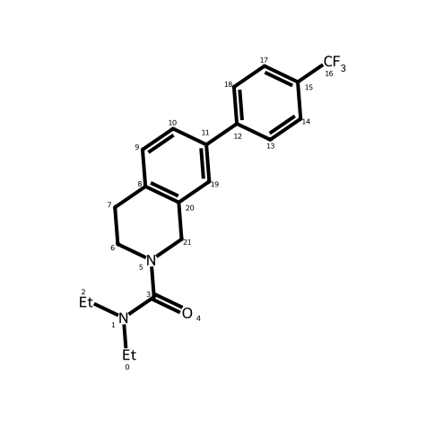 CCN(CC)C(=O)N1CCc2ccc(-c3ccc(C(F)(F)F)cc3)cc2C1